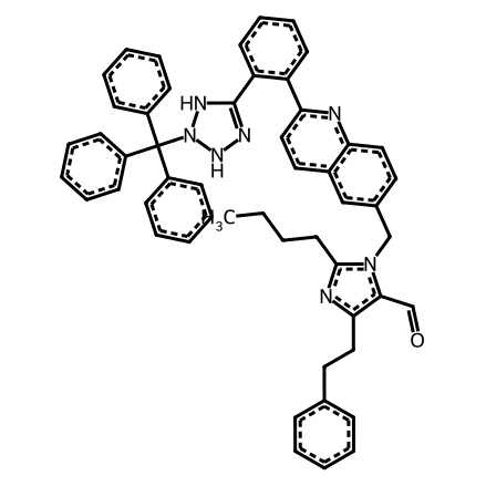 CCCCc1nc(CCc2ccccc2)c(C=O)n1Cc1ccc2nc(-c3ccccc3C3=NNN(C(c4ccccc4)(c4ccccc4)c4ccccc4)N3)ccc2c1